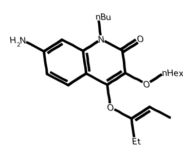 CC=C(CC)Oc1c(OCCCCCC)c(=O)n(CCCC)c2cc(N)ccc12